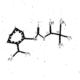 CC(C)c1ccccc1NC(=S)NC(O)C(C)(C)C